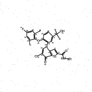 CCNC(=O)c1cc2c(s1)c(=O)c(Cl)cn2-c1cc(C(C)(C)O)ccc1Oc1c(C)cc(F)cc1C